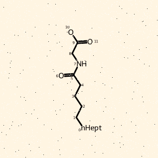 CCCCCCCCCCCC(=O)NCC([O])=O